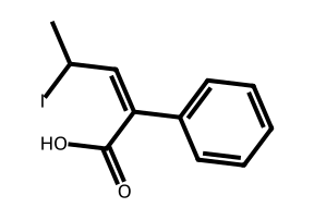 CC(I)C=C(C(=O)O)c1ccccc1